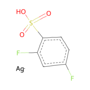 O=S(=O)(O)c1ccc(F)cc1F.[Ag]